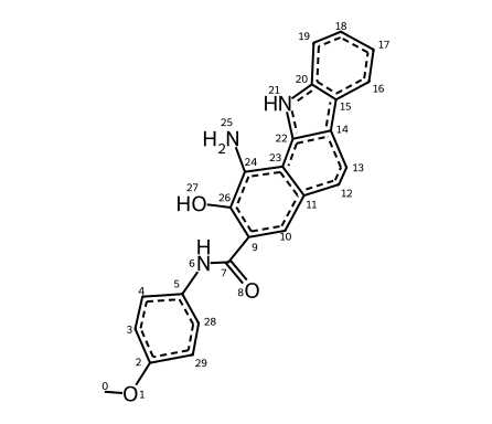 COc1ccc(NC(=O)c2cc3ccc4c5ccccc5[nH]c4c3c(N)c2O)cc1